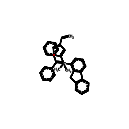 C=CC1=CC[C]([Zr]([CH3])([CH3])(=[C](c2ccccc2)c2ccccc2)[c]2cccc3c2Cc2ccccc2-3)=C1